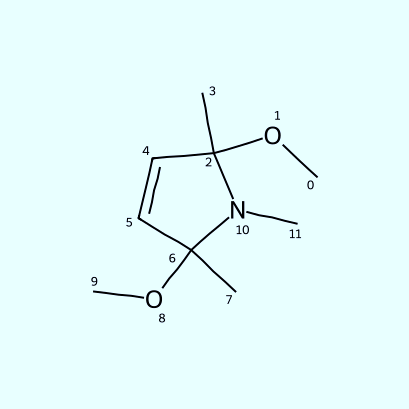 COC1(C)C=CC(C)(OC)N1C